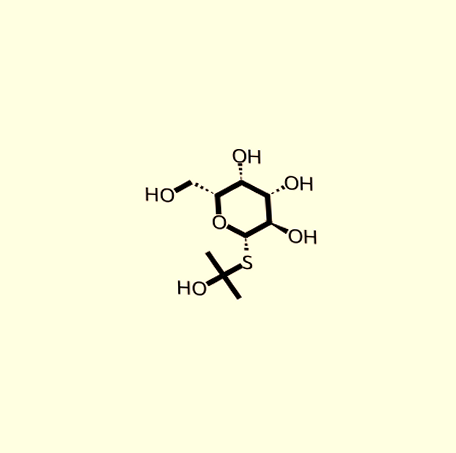 CC(C)(O)S[C@@H]1O[C@H](CO)[C@H](O)[C@H](O)[C@H]1O